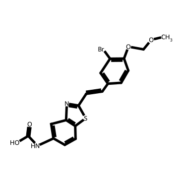 COCOc1ccc(C=Cc2nc3cc(NC(=O)O)ccc3s2)cc1Br